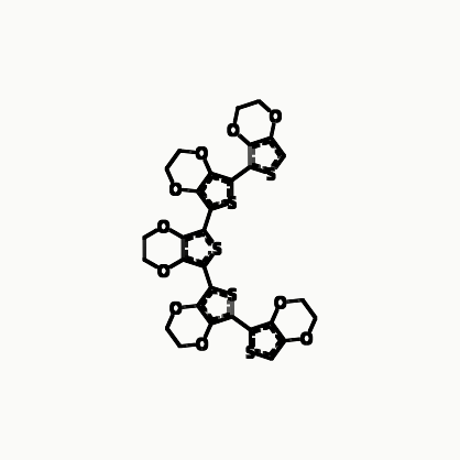 c1sc(-c2sc(-c3sc(-c4sc(-c5scc6c5OCCO6)c5c4OCCO5)c4c3OCCO4)c3c2OCCO3)c2c1OCCO2